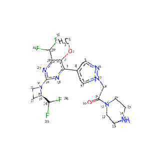 COc1c(-c2cnn(CC(=O)N3CCNCC3)c2)nc(N2CC[C@@H]2C(F)F)nc1C(F)F